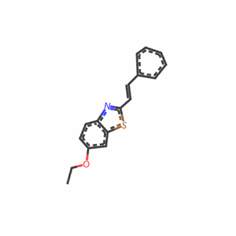 CCOc1ccc2nc(/C=C/c3ccccc3)sc2c1